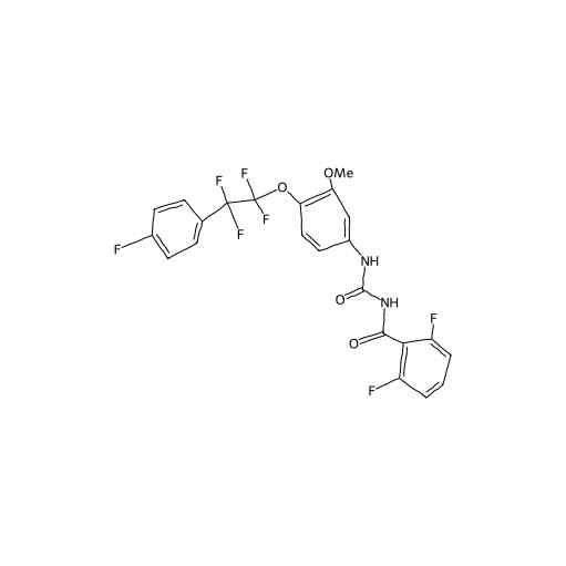 COc1cc(NC(=O)NC(=O)c2c(F)cccc2F)ccc1OC(F)(F)C(F)(F)c1ccc(F)cc1